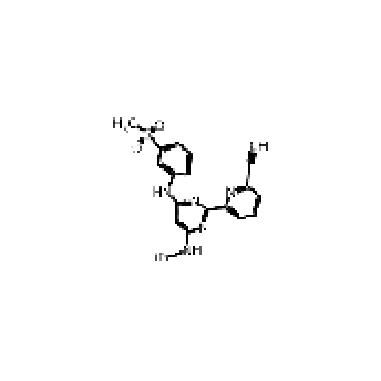 C#Cc1cccc(-c2nc(Nc3cccc(S(C)(=O)=O)c3)cc(NC(C)C)n2)n1